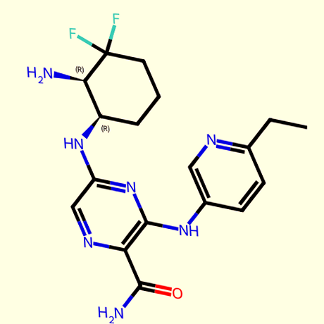 CCc1ccc(Nc2nc(N[C@@H]3CCCC(F)(F)[C@@H]3N)cnc2C(N)=O)cn1